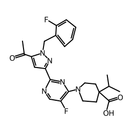 CC(=O)c1cc(-c2ncc(F)c(N3CCC(C(=O)O)(C(C)C)CC3)n2)nn1Cc1ccccc1F